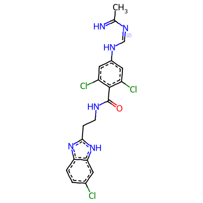 CC(=N)/N=C\Nc1cc(Cl)c(C(=O)NCCc2nc3ccc(Cl)cc3[nH]2)c(Cl)c1